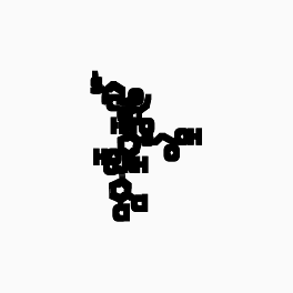 CCC(C(=O)Nc1cc(O)c(NC(=O)c2ccc(Cl)c(Cl)c2)cc1SCCC(=O)O)S(=O)(=O)c1ccc(SC)cc1